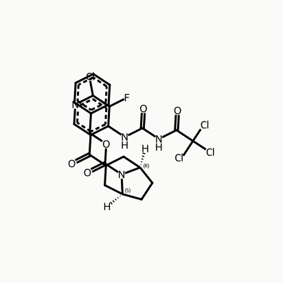 O=C(NC(=O)C(Cl)(Cl)Cl)Nc1c(C(=O)C2C[C@H]3CC[C@@H](C2)N3C(=O)OCc2ccccc2)cnc(Cl)c1F